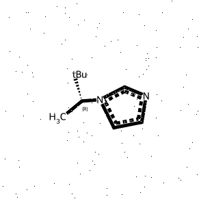 C[C@@H](n1ccnc1)C(C)(C)C